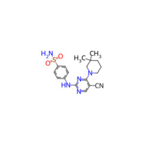 CC1(C)CCCN(c2nc(Nc3ccc(S(N)(=O)=O)cc3)ncc2C#N)C1